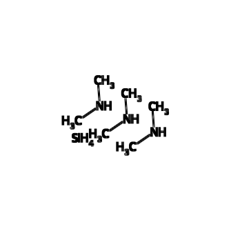 CNC.CNC.CNC.[SiH4]